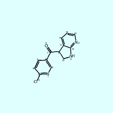 O=C(c1ccc(Cl)nc1)C1CNc2ncccc21